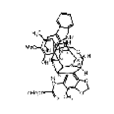 CCCCCCCC(=O)Oc1c(C)c2c(c3c1[C@H]1SC[C@]4(NCCc5c4[nH]c4ccccc54)C(=O)COC[C@@H]3N3C1[C@@H]1c4c(cc(C)c(OC)c4O)C[C@@H]([C@@H]3C#N)N1C)OCO2